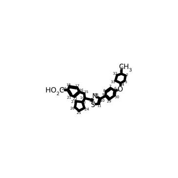 CC1CCC(Oc2ccc(-c3csc(C(Cc4ccc(C(=O)O)cc4)C4CCCC4)n3)cc2)CC1